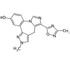 COc1ccc2c(c1)-c1nn(C)cc1Cc1c(-c3nc(C)no3)ncn1-2